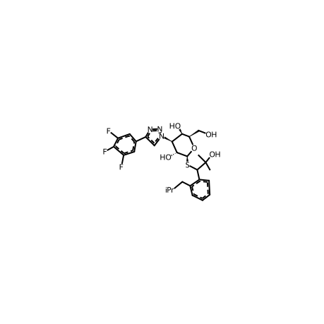 CC(C)Cc1ccccc1C(S[C@@H]1O[C@H](CO)[C@H](O)[C@H](n2cc(-c3cc(F)c(F)c(F)c3)nn2)[C@H]1O)C(C)(C)O